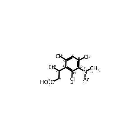 CCC(CC(=O)O)c1c(Cl)cc(Cl)c(N(C)C(C)=O)c1Cl